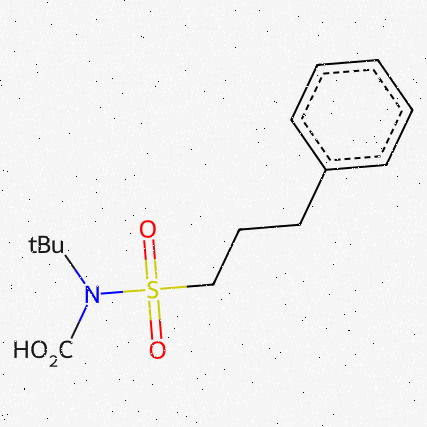 CC(C)(C)N(C(=O)O)S(=O)(=O)CCCc1ccccc1